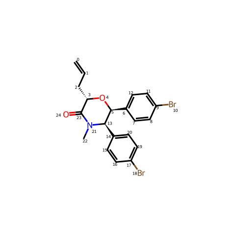 C=CC[C@@H]1O[C@@H](c2ccc(Br)cc2)[C@@H](c2ccc(Br)cc2)N(C)C1=O